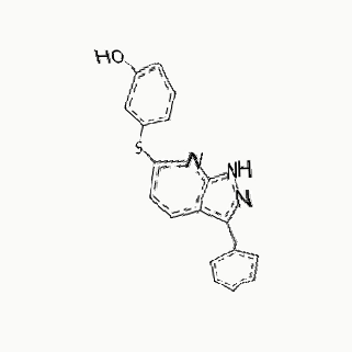 Oc1cccc(Sc2ccc3c(-c4ccccc4)n[nH]c3n2)c1